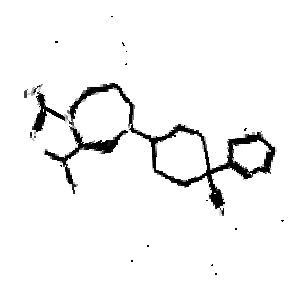 CC(F)C1CN(C2CCC(C#N)(c3ccccc3)CC2)CCCN1C(=O)O